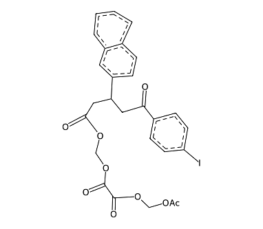 CC(=O)OCOC(=O)C(=O)OCOC(=O)CC(CC(=O)c1ccc(I)cc1)c1ccc2ccccc2c1